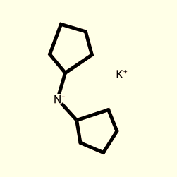 C1CCC([N-]C2CCCC2)C1.[K+]